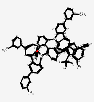 Cc1cccc(-c2ccc3c(c2)c2cc(-c4cccc(C)c4)ccc2n3-c2ccc(-c3ccc(C#N)cc3C(F)(F)F)cc2-c2c(C#N)cccc2-n2c3ccc(-c4cccc(C)c4)cc3c3cc(-c4cccc(C)c4)ccc32)c1